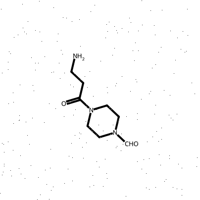 NCCC(=O)N1CCN(C=O)CC1